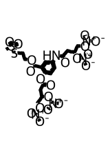 CS(=O)(=O)SCCOC(=O)c1cc(NC(=O)CC(CO[N+](=O)[O-])O[N+](=O)[O-])ccc1OC(=O)CC(CO[N+](=O)[O-])O[N+](=O)[O-]